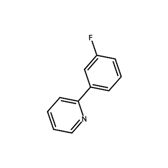 Fc1cccc(-c2ccccn2)c1